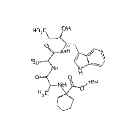 CCC(C)C(NC(=O)C(C)NC1(C(=O)OC(C)(C)C)CCCCC1)C(=O)[AsH][C@@H](Cc1c[nH]c2ccccc12)C(O)CC(=O)O